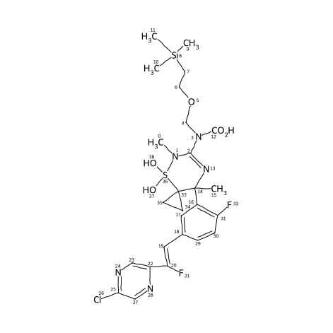 CN1C(N(COCC[Si](C)(C)C)C(=O)O)=NC(C)(c2cc(C=C(F)c3cnc(Cl)cn3)ccc2F)C2(CC2)S1(O)O